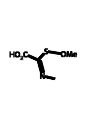 C/N=C(\SOC)C(=O)O